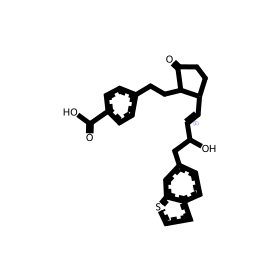 O=C(O)c1ccc(CCC2C(=O)CCC2/C=C/C(O)Cc2ccc3ccsc3c2)cc1